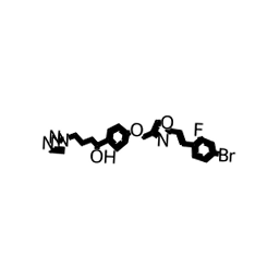 OC(CCCn1ccnn1)c1ccc(OCc2coc(C=Cc3ccc(Br)cc3F)n2)cc1